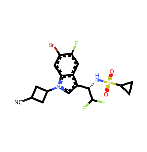 N#CC1CC(n2cc([C@H](NS(=O)(=O)C3CC3)C(F)F)c3cc(F)c(Br)cc32)C1